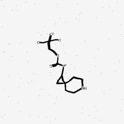 O=C(NC1CC12CCNCC2)OCC(Cl)(Cl)Cl